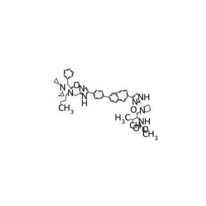 CCCCN(Cc1ncc(-c2ccc(-c3ccc4cc(-c5c[nH]c([C@@H]6CCCN6C(=O)[C@@H](NC(=O)OC)C(C)C)n5)ccc4c3)cc2)[nH]1)C(=O)[C@@H](c1ccccc1)N(C1CC1)C1CC1